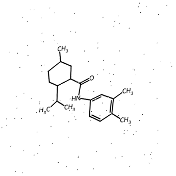 Cc1ccc(NC(=O)C2CC(C)CCC2C(C)C)cc1C